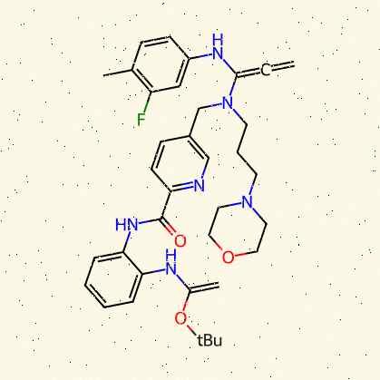 C=C=C(Nc1ccc(C)c(F)c1)N(CCCN1CCOCC1)Cc1ccc(C(=O)Nc2ccccc2NC(=C)OC(C)(C)C)nc1